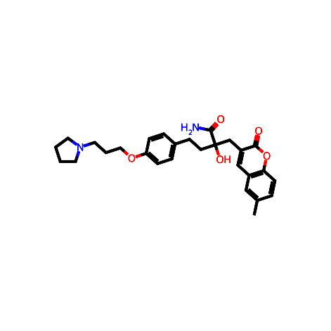 Cc1ccc2oc(=O)c(CC(O)(CCc3ccc(OCCCN4CCCC4)cc3)C(N)=O)cc2c1